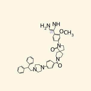 COc1cc(N2CCC3(CCN(C(=O)c4ccc(N5CCN(CC(c6ccccc6)c6ccccc6)CC5)cc4)CC3)C2=O)ccc1/C(C=N)=C/N